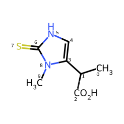 CC(C(=O)O)c1c[nH]c(=S)n1C